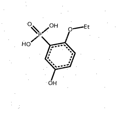 CCOc1ccc(O)cc1P(=O)(O)O